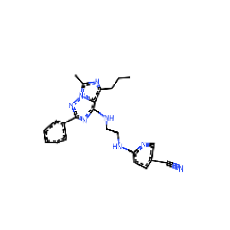 CCCc1nc(C)n2nc(-c3ccccc3)nc(NCCNc3ccc(C#N)cn3)c12